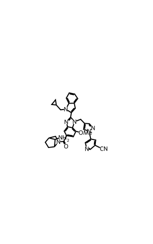 COc1cc(C(=O)N2CC3CCC2C3N)cc2nc(-c3cc4ccccc4n3CC3CC3)n(Cc3cnn(-c4cncc(C#N)c4)c3)c12